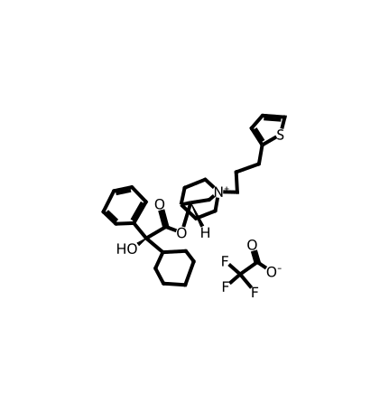 O=C(O[C@H]1C[N+]2(CCCc3cccs3)CCC1CC2)[C@@](O)(c1ccccc1)C1CCCCC1.O=C([O-])C(F)(F)F